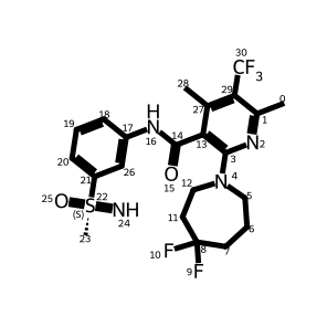 Cc1nc(N2CCCC(F)(F)CC2)c(C(=O)Nc2cccc([S@@](C)(=N)=O)c2)c(C)c1C(F)(F)F